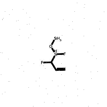 C=CC(F)[SiH](F)O[SiH3]